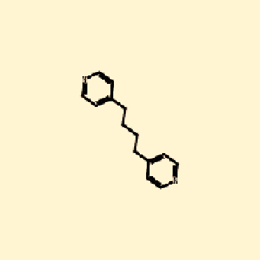 c1cc(CCCCc2ccncc2)ccn1